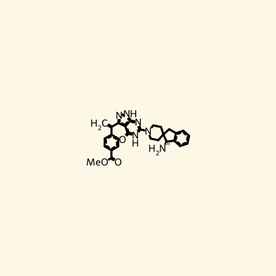 C=C(c1ccc(C(=O)OC)cc1)c1n[nH]c2nc(N3CCC4(CC3)Cc3ccccc3[C@H]4N)[nH]c(=O)c12